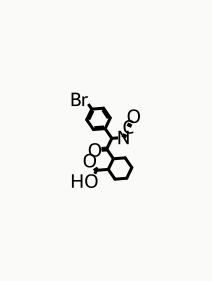 O=C=NC(C(=O)C1CCCCC1C(=O)O)c1ccc(Br)cc1